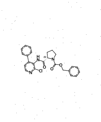 O=C(Nc1c(-c2ccccc2)ccnc1Cl)[C@@H]1CCCN1C(=O)OCc1ccccc1